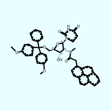 COc1ccc(C(OC[C@H]2O[C@@H](n3ccc(=O)[nH]c3=O)[C@H](N(C)C(=O)Cc3ccc4ccc5cccc6ccc3c4c56)[C@@H]2O)(c2ccccc2)c2ccc(OC)cc2)cc1